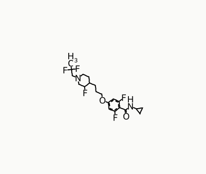 CC(F)(F)CN1CCC(CCCOc2cc(F)c(C(=O)NC3CC3)c(F)c2)C(F)C1